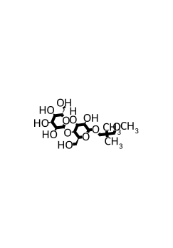 COCC(C)(C)COC1O[C@@H](CO)[C@H](O[C@H]2O[C@@H](CO)[C@@H](O)[C@@H](O)[C@@H]2O)[C@@H](O)[C@@H]1O